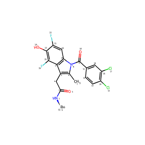 CC[C@H](C)NC(=O)Cc1c(C)n(C(=O)c2ccc(Cl)c(Cl)c2)c2cc(F)c(O)c(F)c12